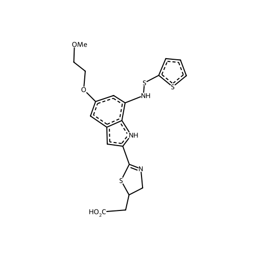 COCCOc1cc(NSc2cccs2)c2[nH]c(C3=NCC(CC(=O)O)S3)cc2c1